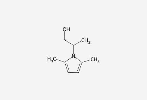 Cc1ccc(C)n1C(C)CO